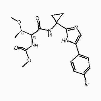 COC(=O)N[C@H](C(=O)NC1(c2ncc(-c3ccc(Br)cc3)[nH]2)CC1)[C@@H](C)OC